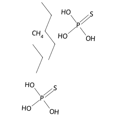 C.CCC.CCCCC.OP(O)(O)=S.OP(O)(O)=S